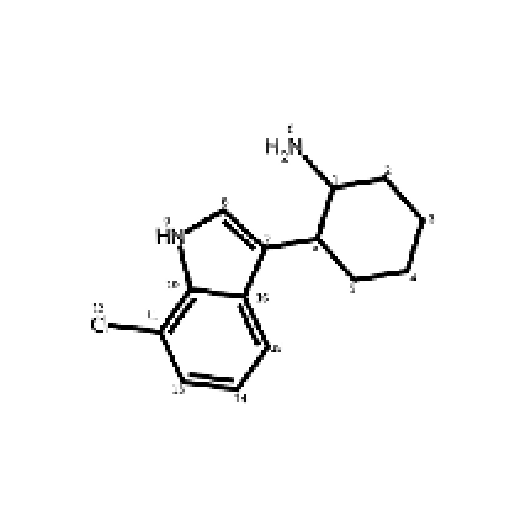 NC1CCCCC1c1c[nH]c2c(Cl)cccc12